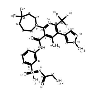 Cc1c(C(=O)Nc2cccc([S@@](C)(=O)=NC(=O)CN)c2)c(N2CCCC(F)(F)CC2)nc(C(F)(F)F)c1-c1cnn(C)c1